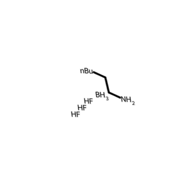 B.CCCCCCN.F.F.F